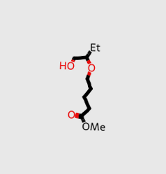 CCC(CO)OCCCCC(=O)OC